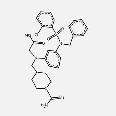 N=C(N)N1CCC(CN(CC(=O)O)c2cccc(N(Cc3ccccc3)S(=O)(=O)c3ccccc3Cl)c2)CC1